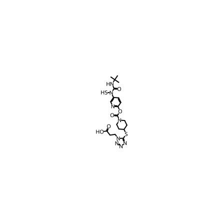 CC(C)(C)NC(=O)N(S)c1ccc(OC(=O)N2CCC(Sc3nnnn3CCC(=O)O)CC2)nc1